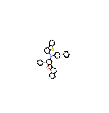 c1ccc(-c2ccc(N(c3cc(-c4ccccc4)c4oc5c6ccccc6ccc5c4c3)c3cccc4c3sc3ccccc34)cc2)cc1